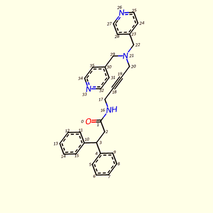 O=C(CC(c1ccccc1)c1ccccc1)NCC#CCN(Cc1ccncc1)Cc1ccncc1